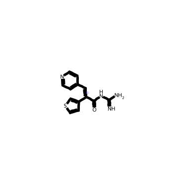 N=C(N)NC(=O)/C(=C/c1ccncc1)c1ccsc1